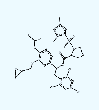 Cc1nc(C)c(S(=O)(=O)N2CCS[C@H]2C(=O)O[C@@H](Cc2c(Cl)c[n+]([O-])cc2Cl)c2ccc(OC(F)F)c(OCC3CC3)c2)s1